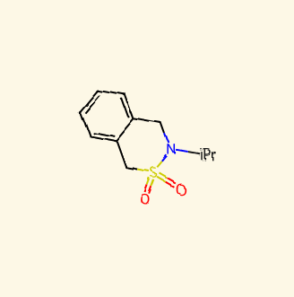 CC(C)N1Cc2ccccc2CS1(=O)=O